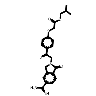 CC(C)COC(=O)COc1ccc(C(=O)CN2Cc3cc(C(=N)N)ccc3C2=O)cc1